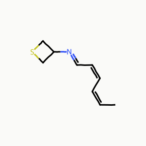 C\C=C/C=C\C=N\C1CSC1